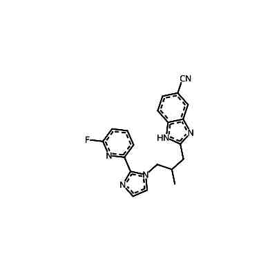 CC(Cc1nc2cc(C#N)ccc2[nH]1)Cn1ccnc1-c1cccc(F)n1